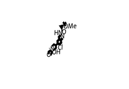 COC(C)(C)[C@H]1C[C@@H]1C(=O)Nc1cc2cc(C3CCN([C@]4(C)COC[C@@H]4O)CC3)c(Cl)cc2cn1